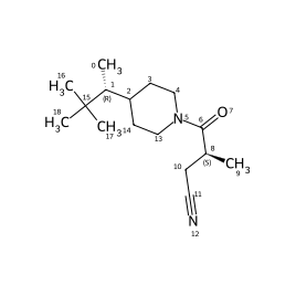 C[C@H](C1CCN(C(=O)[C@@H](C)CC#N)CC1)C(C)(C)C